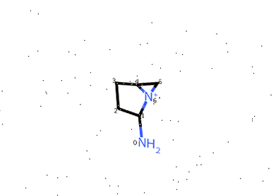 NC1CCC2C[N+]12